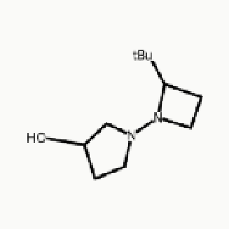 CC(C)(C)C1CCN1N1CCC(O)C1